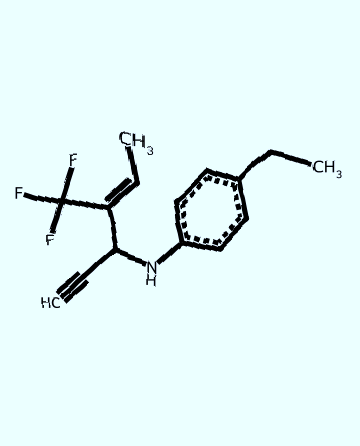 C#CC(Nc1ccc(CC)cc1)C(=CC)C(F)(F)F